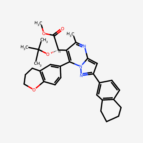 COC(=O)[C@@H](OC(C)(C)C)c1c(C)nc2cc(-c3ccc4c(c3)CCCC4)nn2c1-c1ccc2c(c1)CCCO2